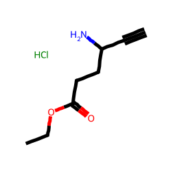 C#CC(N)CCC(=O)OCC.Cl